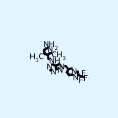 Cc1cc(N)nc(C)c1CNc1ncnc2nn(Cc3ccc4nc(C(F)(F)F)cn4c3)cc12